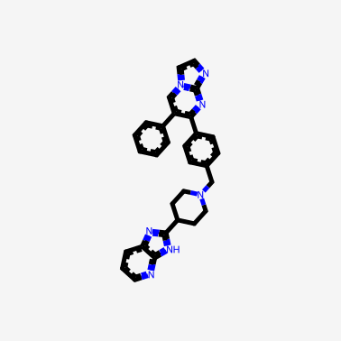 c1ccc(-c2cn3ccnc3nc2-c2ccc(CN3CCC(c4nc5cccnc5[nH]4)CC3)cc2)cc1